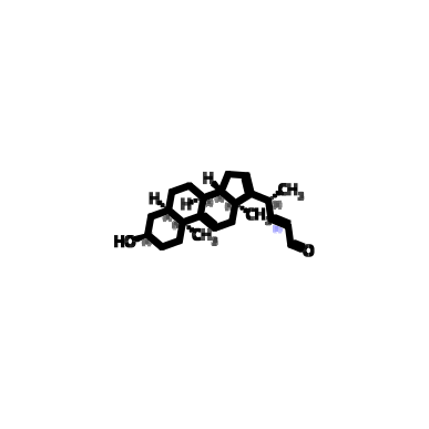 C[C@H](/C=C/C=O)C1=CC[C@H]2[C@@H]3CC[C@@H]4C[C@H](O)CC[C@]4(C)C3=CC[C@]12C